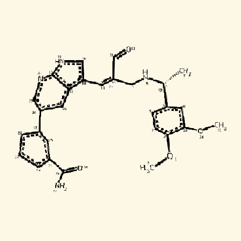 COc1ccc([C@@H](C)NC/C(C=O)=C/c2c[nH]c3ncc(-c4cccc(C(N)=O)c4)cc23)cc1OC